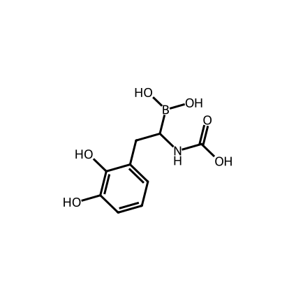 O=C(O)NC(Cc1cccc(O)c1O)B(O)O